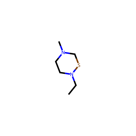 CCN1CCN(C)CS1